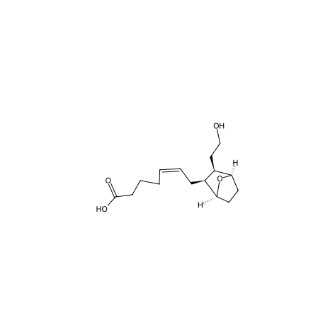 O=C(O)CCC/C=C\C[C@H]1[C@@H](CCO)[C@H]2CC[C@@H]1O2